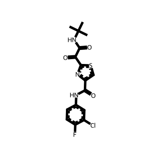 CC(C)(C)NC(=O)C(=O)c1nc(C(=O)Nc2ccc(F)c(Cl)c2)cs1